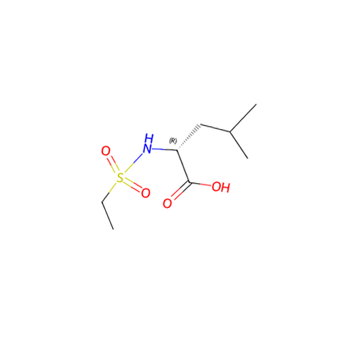 CCS(=O)(=O)N[C@H](CC(C)C)C(=O)O